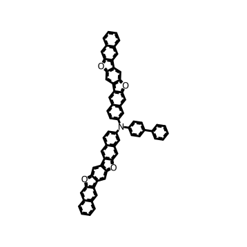 c1ccc(-c2ccc(N(c3ccc4cc5c(cc4c3)oc3cc4c(cc35)oc3cc5ccccc5cc34)c3ccc4cc5c(cc4c3)oc3cc4c(cc35)oc3cc5ccccc5cc34)cc2)cc1